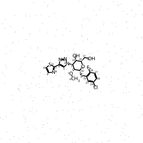 CO[C@@H]1[C@@H](n2cc(-c3nccs3)nn2)[C@@H](O)[C@@H](CO)O[C@@H]1Sc1cc(Cl)ccc1F